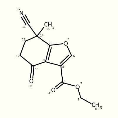 CCOC(=O)c1coc2c1C(=O)CCC2(C)C#N